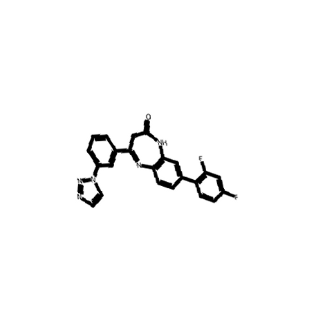 O=C1CC(c2cccc(-n3ccnn3)c2)=Nc2ccc(-c3ccc(F)cc3F)cc2N1